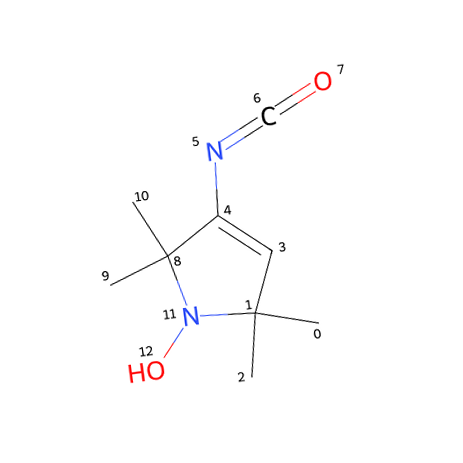 CC1(C)C=C(N=C=O)C(C)(C)N1O